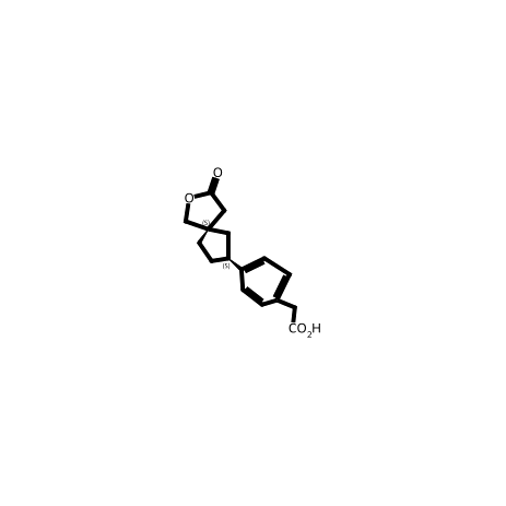 O=C(O)Cc1ccc([C@H]2CC[C@]3(COC(=O)C3)C2)cc1